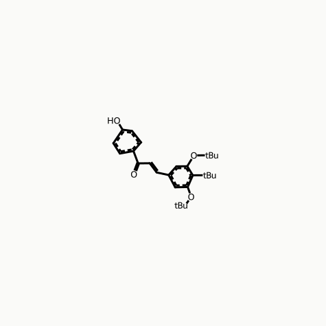 CC(C)(C)Oc1cc(C=CC(=O)c2ccc(O)cc2)cc(OC(C)(C)C)c1C(C)(C)C